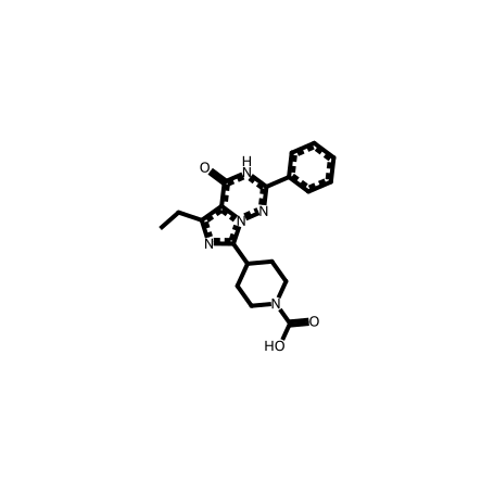 CCc1nc(C2CCN(C(=O)O)CC2)n2nc(-c3ccccc3)[nH]c(=O)c12